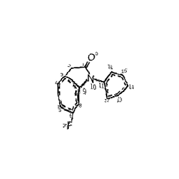 O=C1Cc2ccc(F)cc2N1c1ccccc1